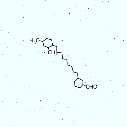 CC1CCC(CCCCCCCCCC2CCCC(C=O)C2)C(C)C1